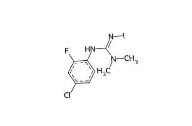 CN(C)/C(=N\I)Nc1ccc(Cl)cc1F